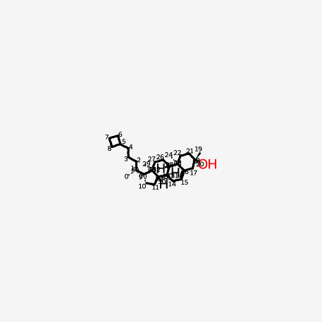 C[C@H](CCCC1CCC1)[C@H]1CC[C@H]2[C@@H]3CC=C4C[C@@](C)(O)CC[C@]4(C)[C@H]3CC[C@]12C